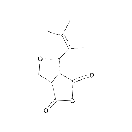 CC(C)=C(C)C1OCC2C(=O)OC(=O)C21